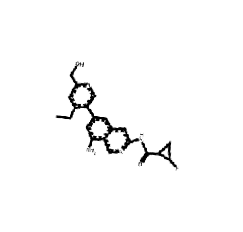 CCc1cc(CO)ncc1-c1cc(N)c2cnc(NC(=O)C3CC3F)cc2c1